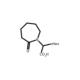 CCCCCCC(C(=O)O)N1CCCCCC1=O